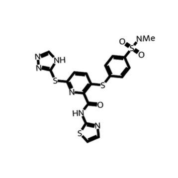 CNS(=O)(=O)c1ccc(Sc2ccc(Sc3nnc[nH]3)nc2C(=O)Nc2nccs2)cc1